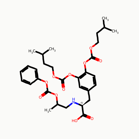 CC(C)CCOC(=O)Oc1ccc(C[C@H](NCC(C)OC(=O)Oc2ccccc2)C(=O)O)cc1OC(=O)OCCC(C)C